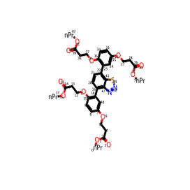 CCCOC(=O)CCOc1ccc(OCCC(=O)OCCC)c(-c2ccc(-c3cc(OCCC(=O)OCCC)ccc3OCCC(=O)OCCC)c3snnc23)c1